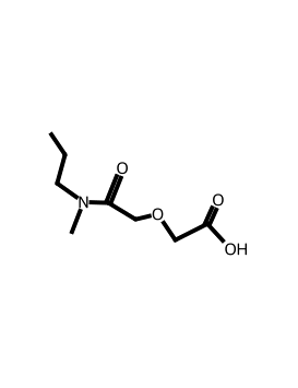 CCCN(C)C(=O)COCC(=O)O